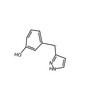 Oc1cccc([CH]c2cc[nH]n2)c1